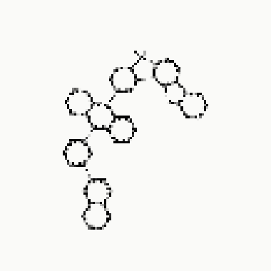 CC1(C)c2ccc(-c3c4ccccc4c(-c4cccc(-c5ccc6ccccc6c5)c4)c4ccccc34)cc2-c2c1ccc1c2sc2ccccc21